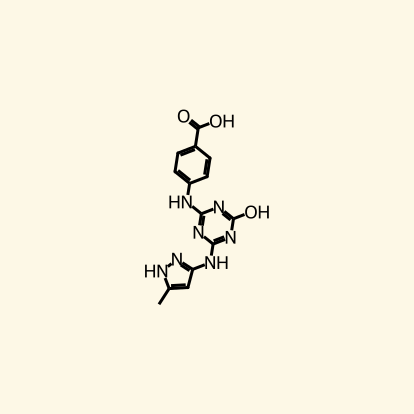 Cc1cc(Nc2nc(O)nc(Nc3ccc(C(=O)O)cc3)n2)n[nH]1